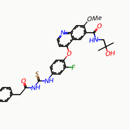 COc1cc2nccc(Oc3ccc(NC(=S)NC(=O)Cc4ccccc4)cc3F)c2cc1C(=O)NCC(C)(C)O